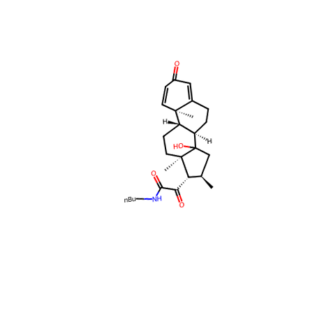 CCCCNC(=O)C(=O)[C@H]1[C@H](C)CC2(O)[C@@H]3CCC4=CC(=O)C=C[C@]4(C)[C@H]3CC[C@]12C